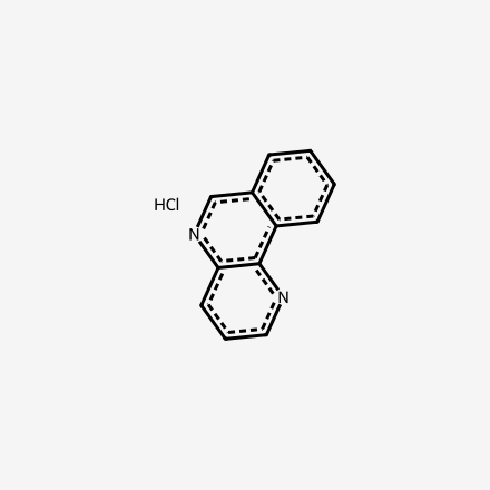 Cl.c1ccc2c(c1)cnc1cccnc12